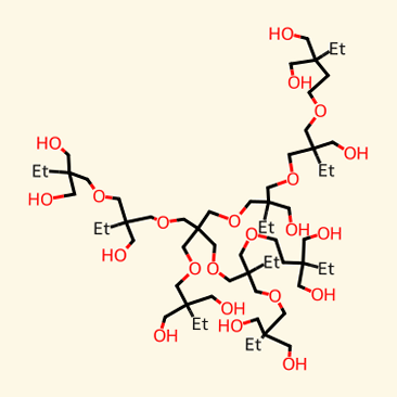 CCC(CO)(CO)CCOCC(CC)(CO)COCC(CC)(CO)COCC(COCC(CC)(CO)CO)(COCC(CC)(CO)COCC(CC)(CO)CO)COCC(CC)(COCCC(CC)(CO)CO)COCC(CC)(CO)CO